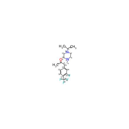 CC(=O)[C@H](CN1CCN(C(C)C)CC1)c1ccc(C(F)(F)F)c(F)c1